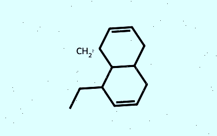 CCC1C=CCC2CC=CCC12.[CH2]